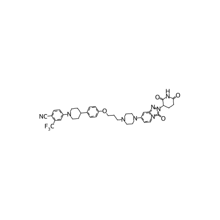 N#Cc1ccc(N2CCC(c3ccc(OCCCN4CCN(c5ccn6c(=O)n(C7CCC(=O)NC7=O)nc6c5)CC4)cc3)CC2)cc1C(F)(F)F